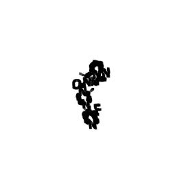 Cc1cnc2cccc([C@@H](C)NC(=O)N3CCN(c4ccncc4F)C[C@H]3C)n12